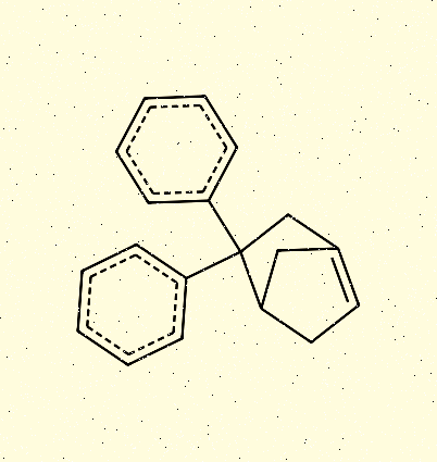 C1=C2CC(C1)C(c1ccccc1)(c1ccccc1)C2